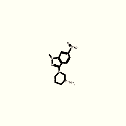 Cn1nc(N2CCC[C@@H](N)C2)c2ccc([N+](=O)[O-])cc21